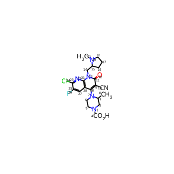 CC1CN(C(=O)O)CCN1c1c(C#N)c(=O)n(CC2CCCN2C)c2nc(Cl)c(F)cc12